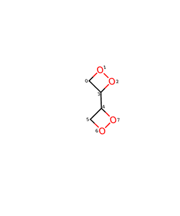 C1OOC1C1COO1